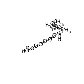 Cc1ccc(NCCOCCOCCOCCOCCOCCOCCC(=O)O)cc1C(=O)Nc1nc(C)c(C)s1